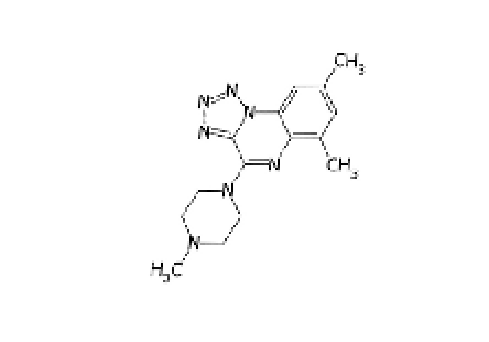 Cc1cc(C)c2nc(N3CCN(C)CC3)c3nnnn3c2c1